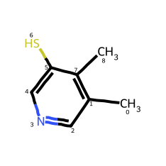 Cc1cncc(S)c1C